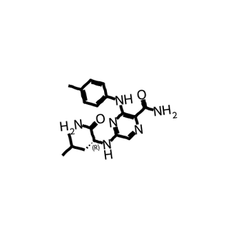 Cc1ccc(Nc2nc(N[C@H](CC(C)C)C(N)=O)cnc2C(N)=O)cc1